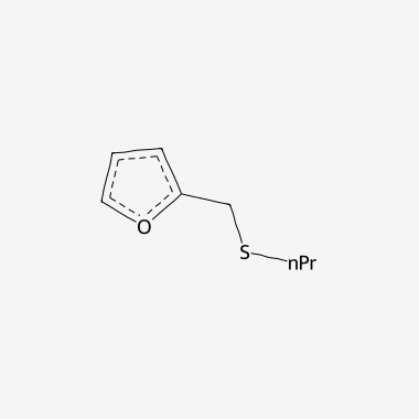 [CH2]CCSCc1ccco1